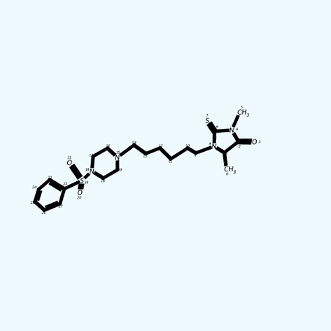 CC1C(=O)N(C)C(=S)N1CCCCCCN1CCN(S(=O)(=O)c2ccccc2)CC1